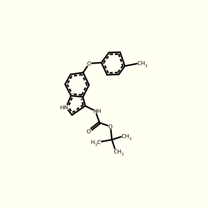 Cc1ccc(Oc2ccc3[nH]cc(NC(=O)OC(C)(C)C)c3c2)cc1